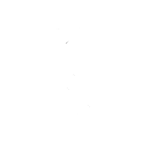 Cc1cc(-c2cnc(C3CCCc4ccc([C@H](C5CC5)[C@H](C)C(=O)O)cc4O3)cn2)c(F)cn1